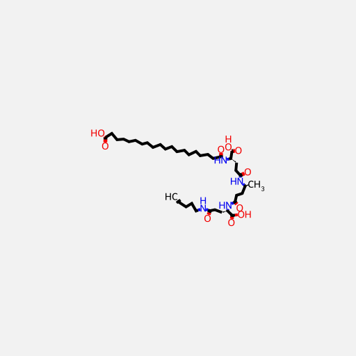 C#CCCCNC(=O)CC[C@H](NC(=O)CC[C@@H](C)NC(=O)CC[C@H](NC(=O)CCCCCCCCCCCCCCCCCCC(=O)O)C(=O)O)C(=O)O